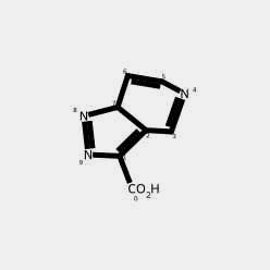 O=C(O)C1=C2C=NC=CC2N=N1